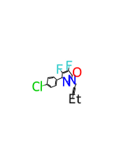 CCC#CCn1nc(-c2ccc(Cl)cc2)c(F)c(F)c1=O